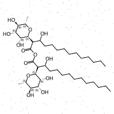 CCCCCCCCCCCC(O)C(C(=O)OC(=O)C(C(O)CCCCCCCCCCC)[C@@H]1O[C@@H](C)[C@H](O)[C@@H](O)[C@H]1O)[C@@H]1O[C@@H](C)[C@H](O)[C@@H](O)[C@H]1O